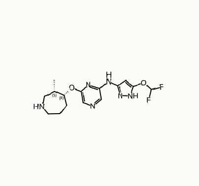 C[C@H]1CNCCC[C@H]1Oc1cncc(Nc2cc(OC(F)F)[nH]n2)n1